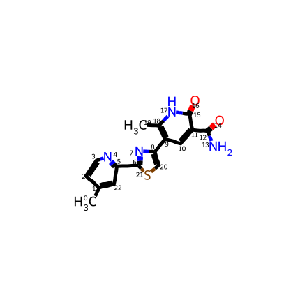 Cc1ccnc(-c2nc(-c3cc(C(N)=O)c(=O)[nH]c3C)cs2)c1